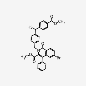 COC(=O)c1ccc(C(S)c2ccc(Cn3c(C(=O)OC)c(-c4ccccc4)c4cc(Br)ccc4c3=O)cc2)cc1